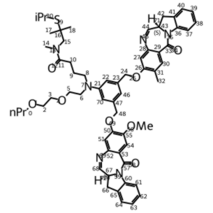 CCCOCCOCCN(CCCC(=O)N(C)CC(C)(C)SC(C)C)c1cc(COc2cc3c(cc2C)C(=O)N2c4ccccc4C[C@H]2C=N3)cc(COc2cc3c(cc2OC)C(=O)N2c4ccccc4C[C@H]2C=N3)c1